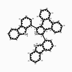 c1ccc2c(c1)[se]c1c(-c3[se]c(-c4cccc5c4[se]c4ccccc45)c4c5ccccc5c5ccccc5c34)cccc12